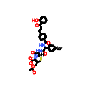 CC(=O)OCC1=C(C(=O)[O-])N2C(=O)[C@@H](NC(=O)C(NC(=O)c3ccc(C=CC(=O)c4ccccc4O)cc3)c3ccccc3)[C@H]2SC1.[Na+]